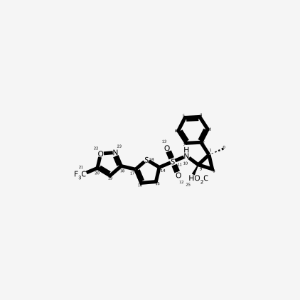 C[C@]1(c2ccccc2)C[C@@]1(NS(=O)(=O)C1CC=C(c2cc(C(F)(F)F)on2)S1)C(=O)O